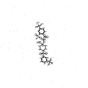 CS(=O)(=O)c1cc(C(F)(F)F)ccc1C(=O)NCC1(O)CCC(S(=O)(=O)c2cccc(C(F)(F)F)c2)CC1